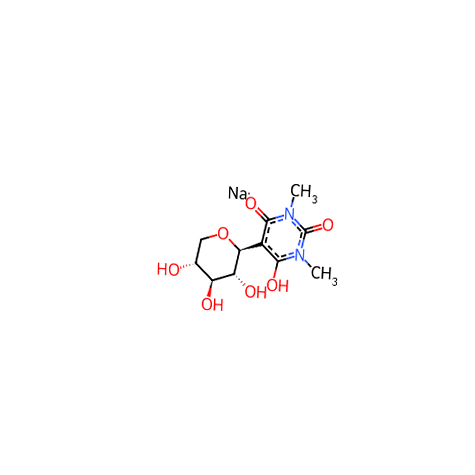 Cn1c(O)c([C@@H]2OC[C@@H](O)[C@H](O)[C@H]2O)c(=O)n(C)c1=O.[Na]